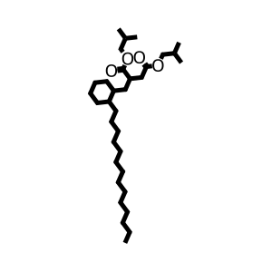 CCCCCCCCCCCCCCC1CCCCC1CC(CC(=O)OCC(C)C)C(=O)OCC(C)C